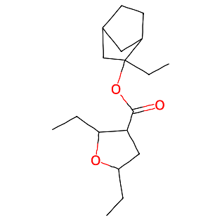 CCC1CC(C(=O)OC2(CC)CC3CCC2C3)C(CC)O1